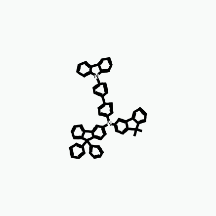 CC1(C)c2ccccc2-c2cc(N(c3ccc(-c4ccc(-n5c6ccccc6c6ccccc65)cc4)cc3)c3ccc4c(c3)-c3ccccc3C4(c3ccccc3)c3ccccc3)ccc21